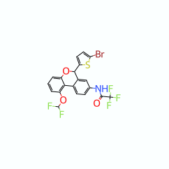 O=C(Nc1ccc2c(c1)C(c1ccc(Br)s1)Oc1cccc(OC(F)F)c1-2)C(F)(F)F